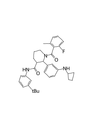 Cc1cccc(F)c1C(=O)N1CCCC(C(=O)Nc2cccc(C(C)(C)C)c2)C1c1cccc(NC2CCC2)c1